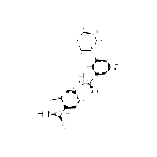 Cc1nc(NC(=O)c2cc(F)cc(N3CCCCC3)c2)ccc1C(N)=O